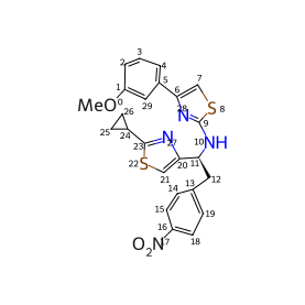 COc1cccc(-c2csc(N[C@@H](Cc3ccc([N+](=O)[O-])cc3)c3csc(C4CC4)n3)n2)c1